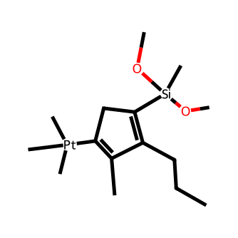 CCCC1=C([Si](C)(OC)OC)C[C]([Pt]([CH3])([CH3])[CH3])=C1C